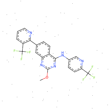 COc1nc(Nc2ccc(C(F)(F)F)nc2)c2ccc(-c3ncccc3C(F)(F)F)cc2n1